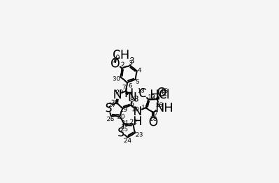 COc1cccc(-c2nc(NC3=C(C)C(=O)NC3=O)c3c(-c4cccs4)csc3n2)c1.Cl